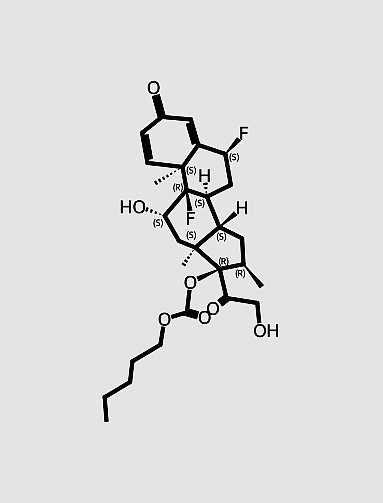 CCCCCOC(=O)O[C@]1(C(=O)CO)[C@H](C)C[C@H]2[C@@H]3C[C@H](F)C4=CC(=O)C=C[C@]4(C)[C@@]3(F)[C@@H](O)C[C@@]21C